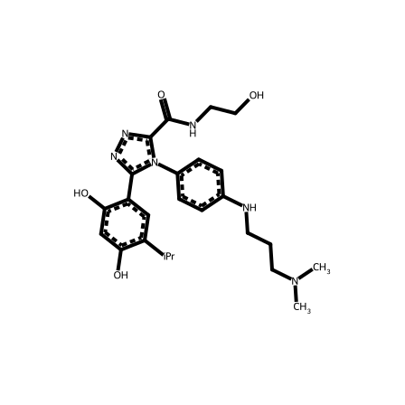 CC(C)c1cc(-c2nnc(C(=O)NCCO)n2-c2ccc(NCCCN(C)C)cc2)c(O)cc1O